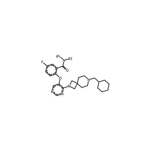 CCN(C(=O)c1cc(F)ccc1Oc1cncnc1N1CC2(CCN(CC3CCCCC3)CC2)C1)C(C)C